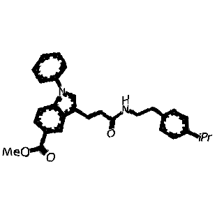 COC(=O)c1ccc2c(c1)c(CCC(=O)NCCc1ccc(C(C)C)cc1)cn2-c1ccccc1